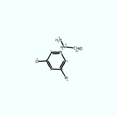 Clc1cncc(Br)c1.NNC=O